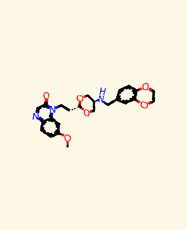 COc1ccc2ncc(=O)n(CC[C@H]3OC[C@H](NCc4ccc5c(c4)OCCO5)CO3)c2c1